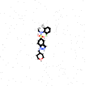 Cc1cccc(F)c1N(CC(C)C)S(=O)(=O)c1ccc2c(cnn2CC2CCOCC2)c1